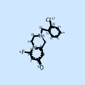 O=c1cc(F)n2c(c1)CN(Cc1ccccc1Cl)CC2